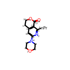 CCCc1nc(N2CCOCC2)cc2c1C(=O)OCC2